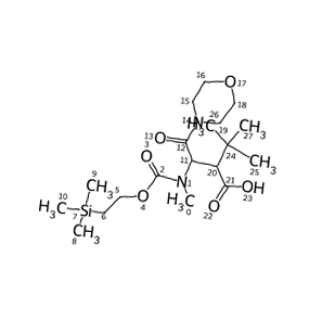 CN(C(=O)OCC[Si](C)(C)C)C(C(=O)N1CCOCC1)C(C(=O)O)C(C)(C)C